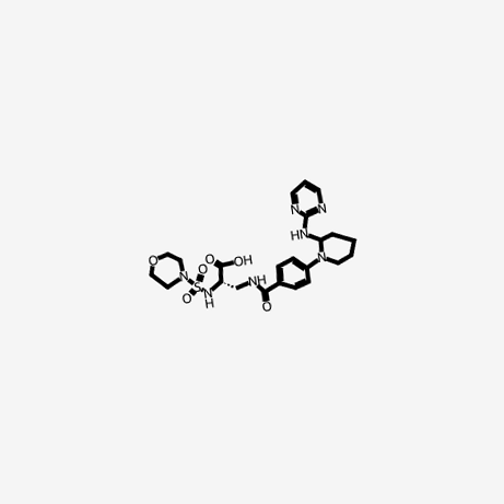 O=C(NC[C@H](NS(=O)(=O)N1CCOCC1)C(=O)O)c1ccc(N2CCCCC2Nc2ncccn2)cc1